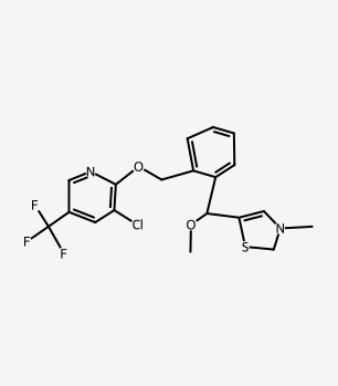 COC(C1=CN(C)CS1)c1ccccc1COc1ncc(C(F)(F)F)cc1Cl